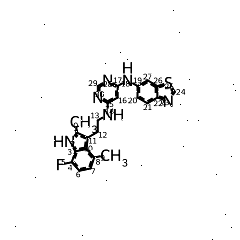 Cc1[nH]c2c(F)ccc(C)c2c1CCNc1cc(Nc2ccc3ncsc3c2)ncn1